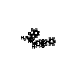 Nc1nc(NC2CCN(S(=O)(=O)CCc3ccncc3)CC2)sc1C(=O)c1c(F)cccc1F